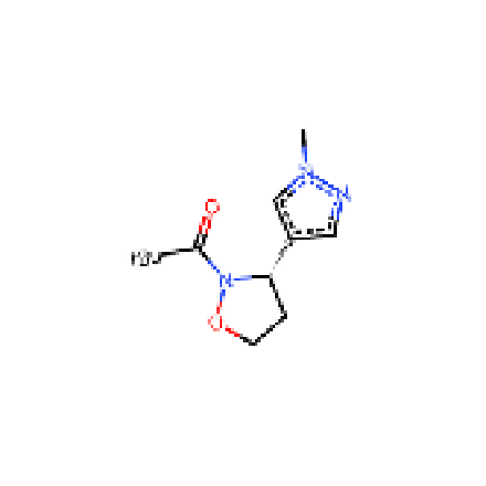 Cn1cc([C@@H]2CCON2C(=O)C(C)(C)C)cn1